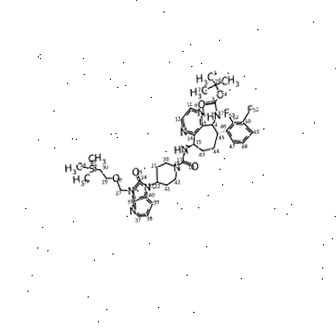 CC(C)(C)OC(=O)N[C@@H]1c2nccnc2[C@H](NC(=O)N2CCC(n3c(=O)n(COCC[Si](C)(C)C)c4ncccc43)CC2)CC[C@H]1c1cccc(F)c1F